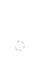 O=CNNc1cc(OC(F)(F)F)ccn1